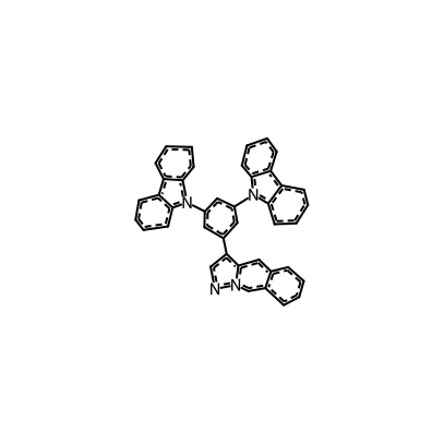 c1ccc2cn3ncc(-c4cc(-n5c6ccccc6c6ccccc65)cc(-n5c6ccccc6c6ccccc65)c4)c3cc2c1